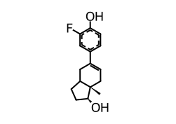 C[C@]12CC=C(c3ccc(O)c(F)c3)CC1CC[C@@H]2O